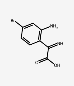 N=C(C(=O)O)c1ccc(Br)cc1N